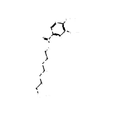 CCCCCCCCCCCCCCCCCOC(=O)c1ccc(O)c(O)c1